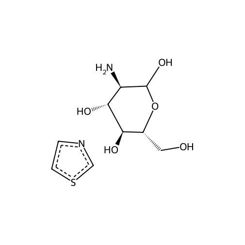 N[C@H]1C(O)O[C@H](CO)[C@@H](O)[C@@H]1O.c1cscn1